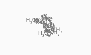 COc1ccc(CCC(=O)NCc2ccccc2)cc1Oc1nc(Nc2ccc(N3CCN(C)CC3)cc2)ncc1C(=O)Nc1c(C)cccc1C